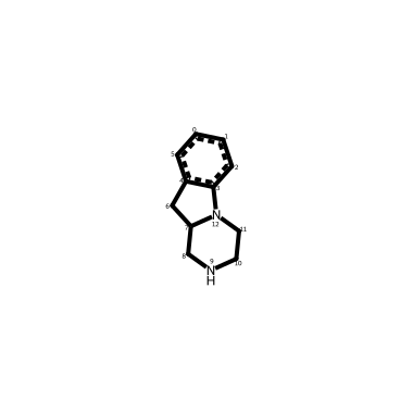 c1ccc2c(c1)CC1CNCCN21